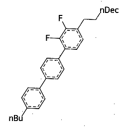 CCCCCCCCCCCCc1ccc(-c2ccc(-c3ccc(CCCC)cc3)cc2)c(F)c1F